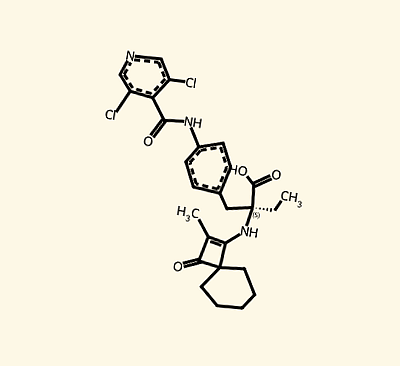 CC[C@@](Cc1ccc(NC(=O)c2c(Cl)cncc2Cl)cc1)(NC1=C(C)C(=O)C12CCCCC2)C(=O)O